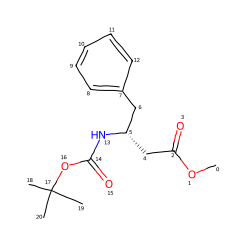 COC(=O)C[C@@H](Cc1ccccc1)NC(=O)OC(C)(C)C